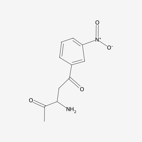 CC(=O)C(N)CC(=O)c1cccc([N+](=O)[O-])c1